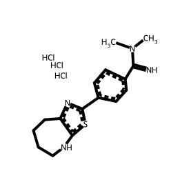 CN(C)C(=N)c1ccc(-c2nc3c(s2)NCCCC3)cc1.Cl.Cl.Cl